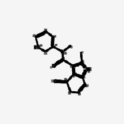 Cc1[nH]c2c(c1C(=O)N(C)C1=CC=CNC1)C(=O)CC=C2